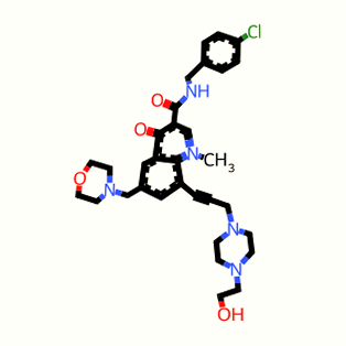 Cn1cc(C(=O)NCc2ccc(Cl)cc2)c(=O)c2cc(CN3CCOCC3)cc(C#CCN3CCN(CCO)CC3)c21